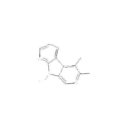 Cc1c(Cl)ncc2c1c1cccnc1n2P